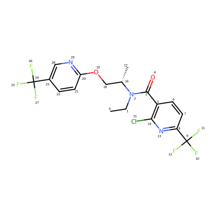 CCN(C(=O)c1ccc(C(F)(F)F)nc1Cl)[C@@H](C)COc1ccc(C(F)(F)F)cn1